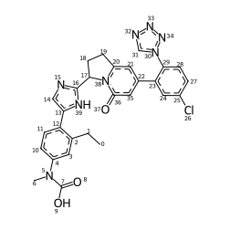 CCc1cc(N(C)C(=O)O)ccc1-c1cnc(C2CCc3cc(-c4cc(Cl)ccc4-n4cnnn4)cc(=O)n32)[nH]1